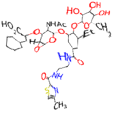 CCC1CC(C(=O)NCCNC(=O)c2nc(C)cs2)C[C@@H](O[C@@H]2OC3O[C@@H]3C(O[C@@H](CC3CCCCC3)C(=O)O)C2NC(C)=O)C1OC1O[C@@H](C)C(O)C(O)[C@@H]1O